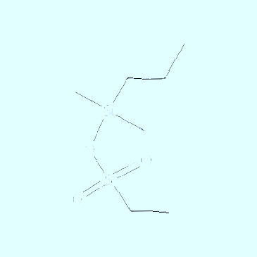 CCC[Si](C)(C)OS(=O)(=O)CC